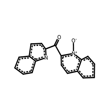 O=C(c1ccc2ccccc2n1)c1ccc2ccccc2[n+]1[O-]